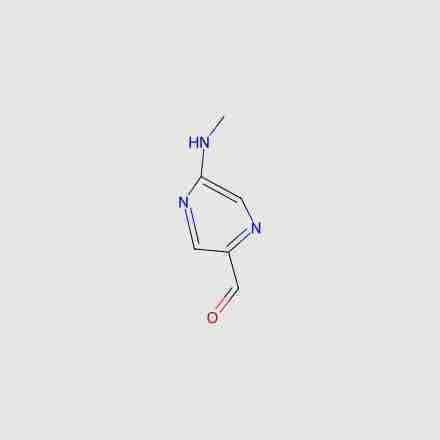 CNc1cnc(C=O)cn1